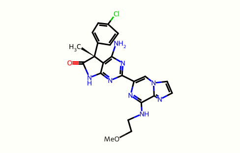 COCCNc1nc(-c2nc(N)c3c(n2)NC(=O)[C@]3(C)c2ccc(Cl)cc2)cn2ccnc12